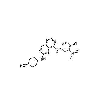 O=[N+]([O-])c1cc(Nc2ncnc3cnc(N[C@H]4CC[C@H](O)CC4)nc23)ccc1Cl